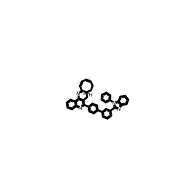 C1=C\CC[C@H]2Cc3c(-c4ccc(-c5cccc(-c6nc7ccccc7n6-c6ccccc6)c5)cc4)nc4ccccc4c3N=C2\C=C/1